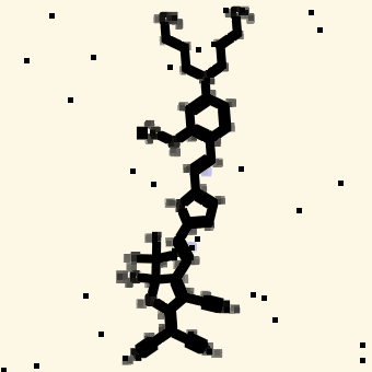 CCCCN(CCCC)c1ccc(/C=C/c2ccc(/C=C/C3=C(C#N)C(=C(C#N)C#N)OC3(C)C(F)(F)F)s2)c(OC)c1